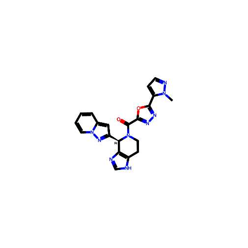 Cn1nccc1-c1nnc(C(=O)N2CCc3[nH]cnc3[C@H]2c2cc3ccccn3n2)o1